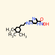 C=C1CC(CCCNCc2ccc(C(=O)NO)cn2)CC(C)C1C